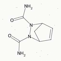 NC(=O)N1C2C=CC(C2)N1C(N)=O